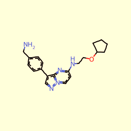 NCc1ccc(-c2cnn3ccc(NCCOC4CCCC4)nc23)cc1